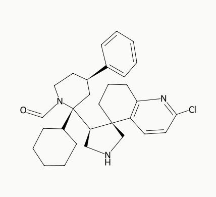 O=CN1CC[C@@H](c2ccccc2)C[C@]1(C1CCCCC1)[C@@H]1CNC[C@]12CCCc1nc(Cl)ccc12